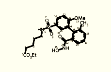 CCOC(=O)CCCCNS(=O)(=O)c1ccc(OC)c(-c2c(C)cccc2C(=O)NO)c1